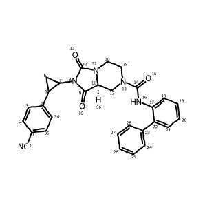 N#Cc1ccc(C2CC2N2C(=O)[C@@H]3CN(C(=O)Nc4ccccc4-c4ccccc4)CCN3C2=O)cc1